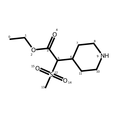 CCOC(=O)C(C1CCNCC1)S(C)(=O)=O